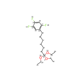 CCO[Si](CCCCCCc1cc(F)c(F)cc1F)(OCC)OCC